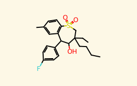 CCCCC1(CC)CS(=O)(=O)c2ccc(C)cc2C(c2ccc(F)cc2)C1O